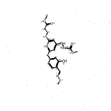 CO/N=C/c1ccc(Cc2cc(NNC(=O)OC)cc(SCCC(=O)OC)n2)cc1O